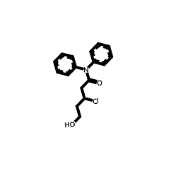 O=C(CC(Cl)CCO)N(c1ccccc1)c1ccccc1